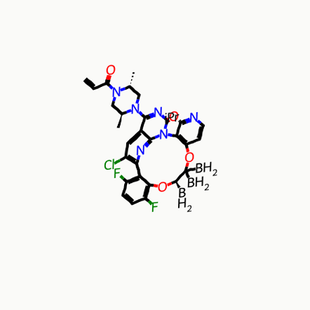 B[C@H]1Oc2c(F)ccc(F)c2-c2nc3c(cc2Cl)c(N2C[C@@H](C)N(C(=O)C=C)C[C@@H]2C)nc(=O)n3-c2c(ccnc2C(C)C)OC1(B)B